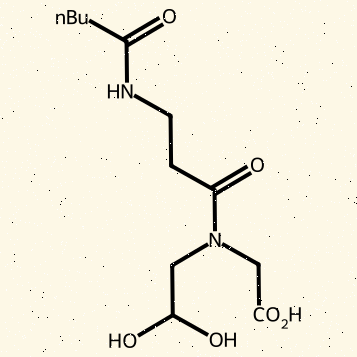 CCCCC(=O)NCCC(=O)N(CC(=O)O)CC(O)O